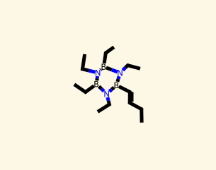 CCC=CB1N(CC)B(CC)N(CC)B(CC)N1CC